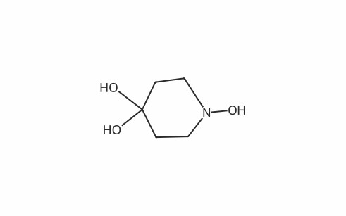 ON1CCC(O)(O)CC1